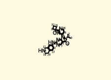 CC(C)n1c(=O)c2cnc(Nc3ccc4c(c3)CNCC4)nc2n1-c1ccnc(C2(O)CCC2)c1